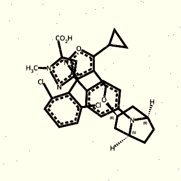 Cn1nc(-c2ccc(N3[C@@H]4CC[C@H]3C[C@@H](OCc3c(-c5c(Cl)cccc5Cl)noc3C3CC3)C4)cc2)cc1C(=O)O